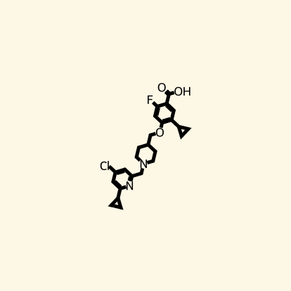 O=C(O)c1cc(C2CC2)c(OCC2CCN(Cc3cc(Cl)cc(C4CC4)n3)CC2)cc1F